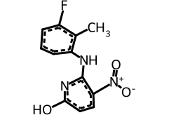 Cc1c(F)cccc1Nc1nc(O)ccc1[N+](=O)[O-]